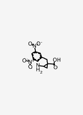 NC1CC1(Cc1cc([N+](=O)[O-])cc([N+](=O)[O-])c1)C(=O)O